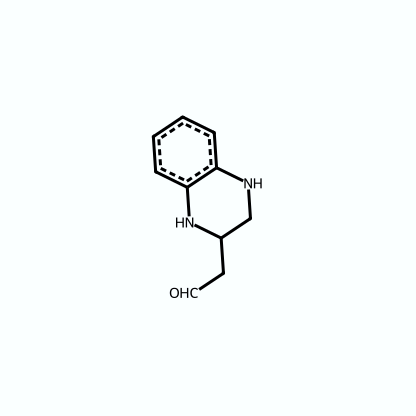 O=CCC1CNc2ccccc2N1